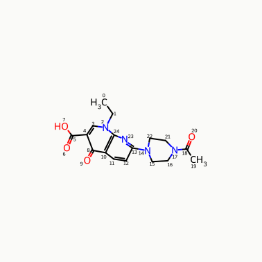 CCn1cc(C(=O)O)c(=O)c2ccc(N3CCN(C(C)=O)CC3)nc21